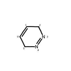 C1=CCN=NC1